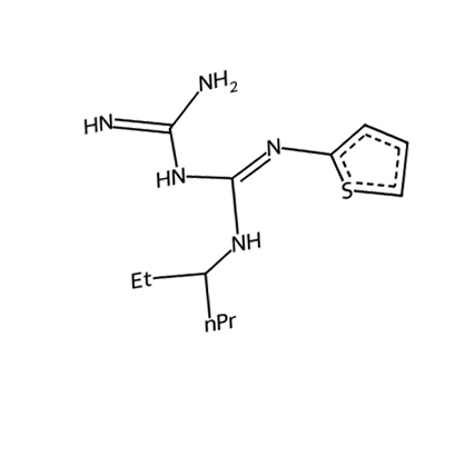 CCCC(CC)NC(=Nc1cccs1)NC(=N)N